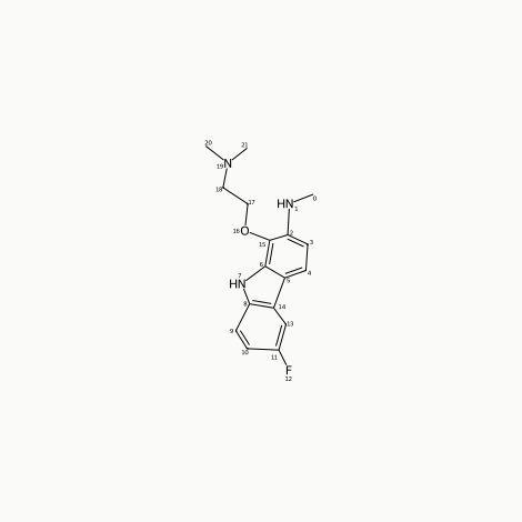 CNc1ccc2c([nH]c3ccc(F)cc32)c1OCCN(C)C